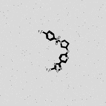 O=S(=O)(c1ccc(C(F)(F)F)cc1)N1CCC(Oc2ccc(-c3noc(C(F)(F)F)n3)cn2)C1